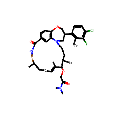 CCCc1c(C2COc3ccc4cc3N(CCC(CC)C(OCC(=O)N(C)C)/C(C)=C/CCC(C)SNC4=O)C2)ccc(Cl)c1F